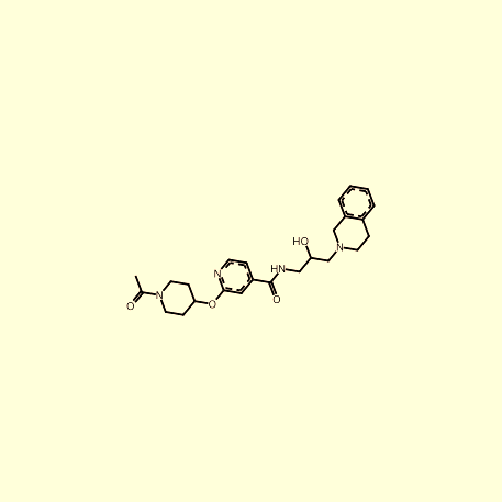 CC(=O)N1CCC(Oc2cc(C(=O)NCC(O)CN3CCc4ccccc4C3)ccn2)CC1